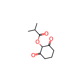 CC(C)C(=O)OC1C(=O)CCCC1=O